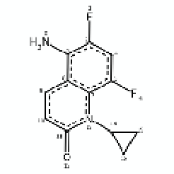 Nc1c(F)cc(F)c2c1ccc(=O)n2C1CC1